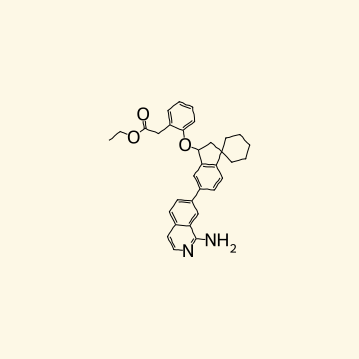 CCOC(=O)Cc1ccccc1OC1CC2(CCCCC2)c2ccc(-c3ccc4ccnc(N)c4c3)cc21